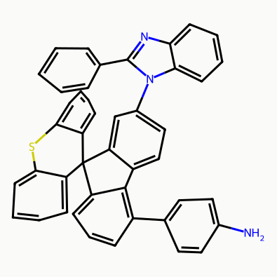 Nc1ccc(-c2cccc3c2-c2ccc(-n4c(-c5ccccc5)nc5ccccc54)cc2C32c3ccccc3Sc3ccccc32)cc1